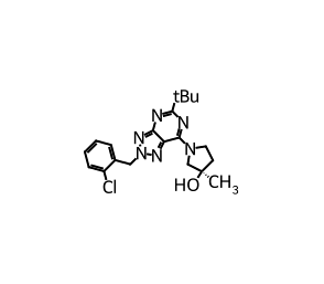 CC(C)(C)c1nc(N2CC[C@@](C)(O)C2)c2nn(Cc3ccccc3Cl)nc2n1